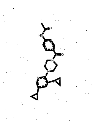 CC(=O)Nc1ccc(C(=O)N2CCN(c3ncc(C4CC4)cc3C3CC3)CC2)cc1